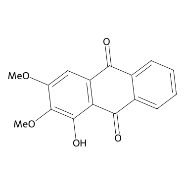 COc1cc2c(c(O)c1OC)C(=O)c1ccccc1C2=O